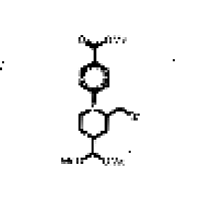 COC(=O)c1ccc(N2CCC(C(OC)OC)CC2CBr)cc1